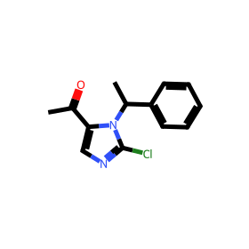 CC(=O)c1cnc(Cl)n1C(C)c1ccccc1